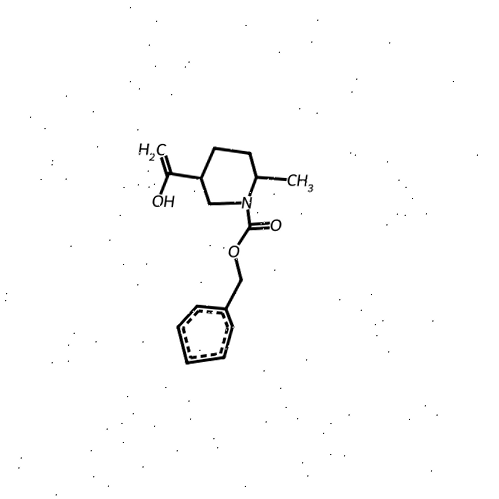 C=C(O)C1CCC(C)N(C(=O)OCc2ccccc2)C1